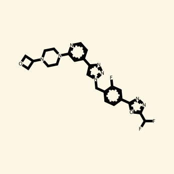 Fc1cc(-c2nnc(C(F)F)o2)ccc1Cn1cc(-c2ccnc(N3CCN(C4COC4)CC3)c2)nn1